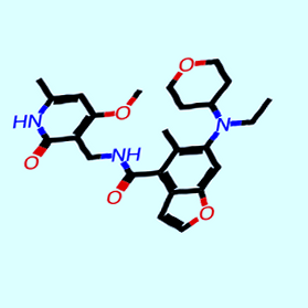 CCN(c1cc2occc2c(C(=O)NCc2c(OC)cc(C)[nH]c2=O)c1C)C1CCOCC1